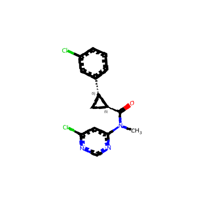 CN(C(=O)[C@H]1C[C@@H]1c1cccc(Cl)c1)c1cc(Cl)ncn1